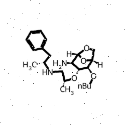 CCCCO[C@H]1[C@H](O[C@H](C)CN[C@H](C)Cc2ccccc2)[C@@H](N)[C@@H]2OC[C@H]1O2